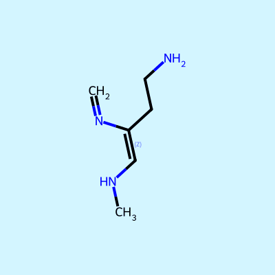 C=N/C(=C\NC)CCN